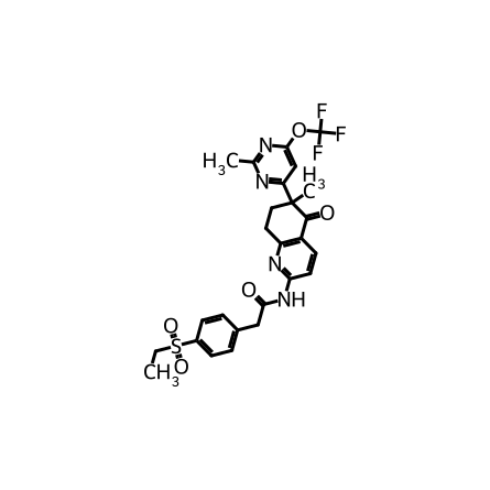 CCS(=O)(=O)c1ccc(CC(=O)Nc2ccc3c(n2)CCC(C)(c2cc(OC(F)(F)F)nc(C)n2)C3=O)cc1